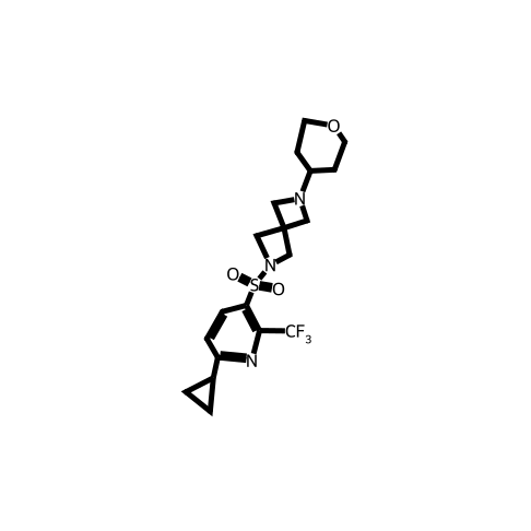 O=S(=O)(c1ccc(C2CC2)nc1C(F)(F)F)N1CC2(CN(C3CCOCC3)C2)C1